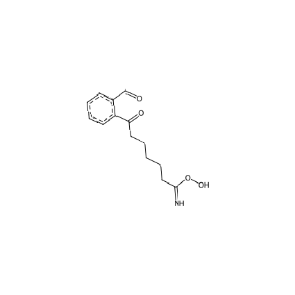 N=C(CCCCCC(=O)c1ccccc1[C]=O)OO